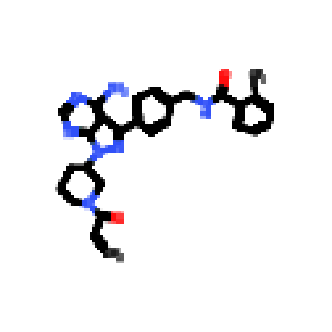 C=CC(=O)N1CCCC(n2nc(-c3ccc(CNC(=O)c4ccccc4C(F)(F)F)cc3)c3c(N)ncnc32)C1